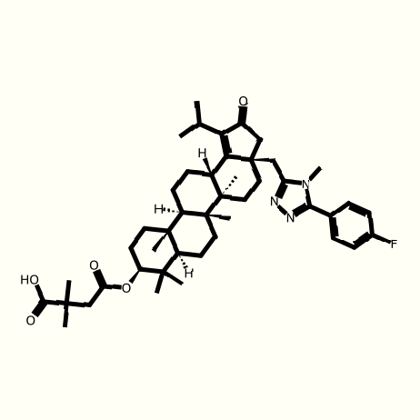 CC(C)C1=C2[C@H]3CC[C@@H]4[C@@]5(C)CC[C@H](OC(=O)CC(C)(C)C(=O)O)C(C)(C)[C@@H]5CC[C@@]4(C)[C@]3(C)CC[C@@]2(Cc2nnc(-c3ccc(F)cc3)n2C)CC1=O